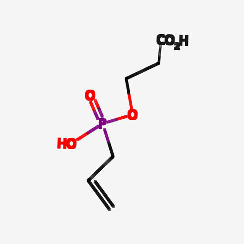 C=CCP(=O)(O)OCCC(=O)O